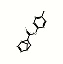 Cc1ccc(OC(=O)C2CC3C=CC2C3)cc1